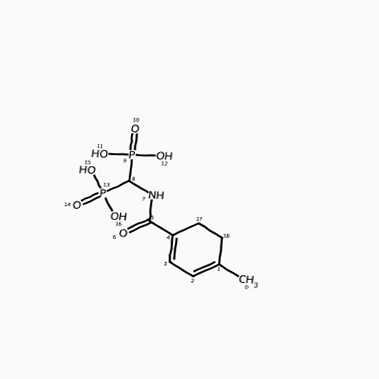 CC1=CC=C(C(=O)NC(P(=O)(O)O)P(=O)(O)O)CC1